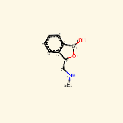 CCNC[C@@H]1OB(O)c2ccccc21